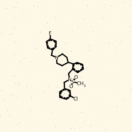 CS(=O)(=O)N(Cc1cccc(Cl)c1)Cc1ccccc1C1CCN(Cc2ccc(F)cc2)CC1